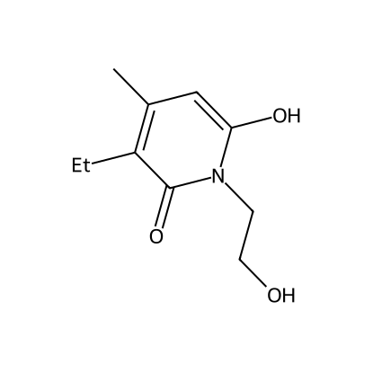 CCc1c(C)cc(O)n(CCO)c1=O